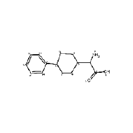 NC(C(=O)O)C1CCC(c2ccccc2)CC1